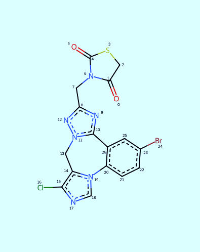 O=C1CSC(=O)N1Cc1nc2n(n1)Cc1c(Cl)ncn1-c1ccc(Br)cc1-2